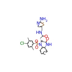 Cc1cc(S(=O)(=O)N2c3ccccc3NC(=O)[C@H]2CC(=O)NCc2cnc(N)s2)c(C)cc1Cl